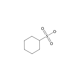 [O]S(=O)(=O)C1CCCCC1